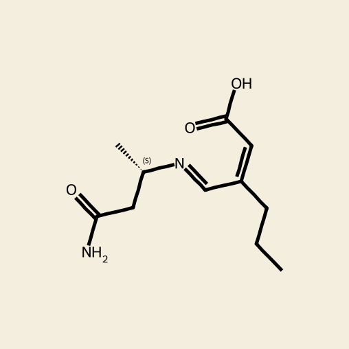 CCCC(C=N[C@@H](C)CC(N)=O)=CC(=O)O